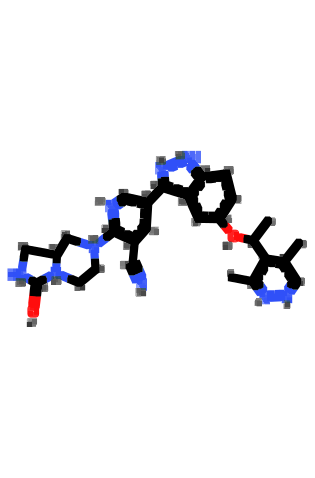 Cc1cnnc(C)c1C(C)Oc1ccc2[nH]nc(-c3cnc(N4CCN5C(=O)NCC5C4)c(C#N)c3)c2c1